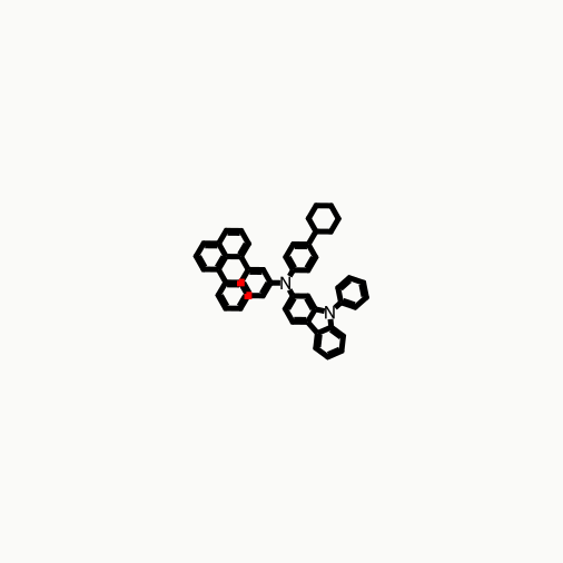 c1ccc(-c2cccc3cccc(-c4cccc(N(c5ccc(C6CCCCC6)cc5)c5ccc6c7ccccc7n(-c7ccccc7)c6c5)c4)c23)cc1